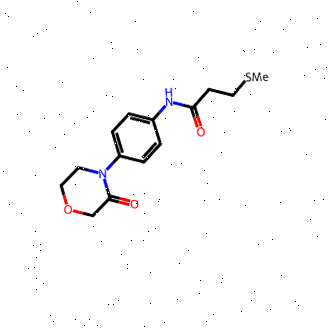 CSCCC(=O)Nc1ccc(N2CCOCC2=O)cc1